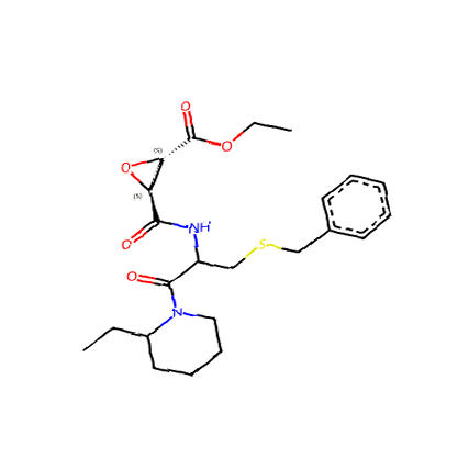 CCOC(=O)[C@H]1O[C@@H]1C(=O)NC(CSCc1ccccc1)C(=O)N1CCCCC1CC